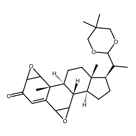 CC(C1OCC(C)(C)CO1)[C@H]1CC[C@H]2[C@@H]3C4OC4C4=CC(=O)C5OC5[C@]4(C)[C@H]3CC[C@]12C